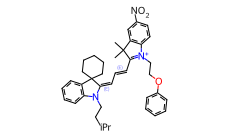 CC(C)CCN1/C(=C/C=C/C2=[N+](CCOc3ccccc3)c3ccc([N+](=O)[O-])cc3C2(C)C)C2(CCCCC2)c2ccccc21